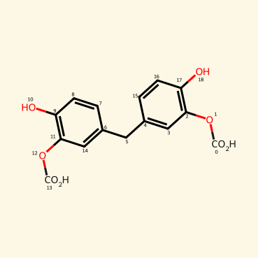 O=C(O)Oc1cc(Cc2ccc(O)c(OC(=O)O)c2)ccc1O